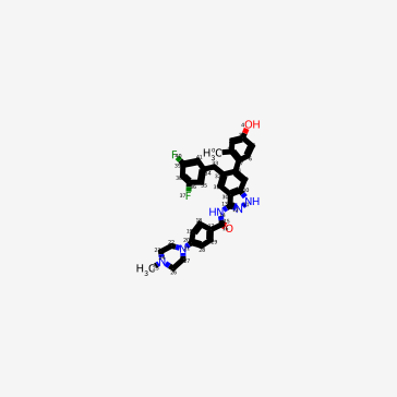 Cc1cc(O)ccc1-c1cc2[nH]nc(NC(=O)c3ccc(N4CCN(C)CC4)cc3)c2cc1Cc1cc(F)cc(F)c1